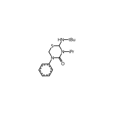 CC(C)N1C(=O)N(c2ccccc2)CSC1NC(C)(C)C